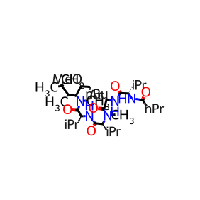 C=C(C)[C@H](C)[C@@H]([C@@H](CC(C)=O)OC)N(C)C(=O)[C@@H](NC(=O)[C@H](C(C)C)N(C)C(=O)[C@H](CCCC)NC(=O)[C@@H](NC(=O)CCC)C(C)C)C(C)C